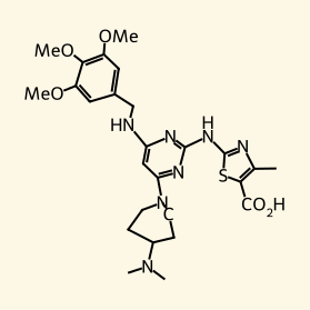 COc1cc(CNc2cc(N3CCC(N(C)C)CC3)nc(Nc3nc(C)c(C(=O)O)s3)n2)cc(OC)c1OC